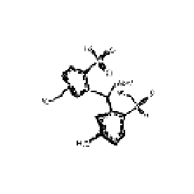 CCCCCCCCCC(c1cc(C)ccc1S(=O)(=O)S)c1cc(C)ccc1S(=O)(=O)S